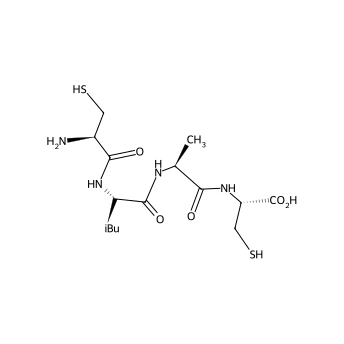 CC[C@H](C)[C@H](NC(=O)[C@@H](N)CS)C(=O)N[C@@H](C)C(=O)N[C@@H](CS)C(=O)O